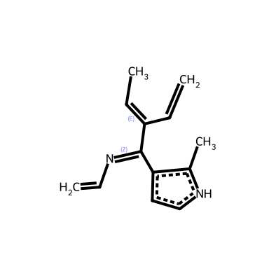 C=C/N=C(/C(C=C)=C/C)c1cc[nH]c1C